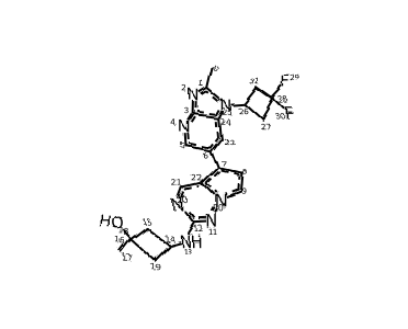 Cc1nc2ncc(-c3ccn4nc(NC5CC(C)(O)C5)ncc34)cc2n1C1CC(F)(F)C1